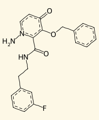 Nn1ccc(=O)c(OCc2ccccc2)c1C(=O)NCCc1cccc(F)c1